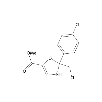 COC(=O)C1=CNC(CCl)(c2ccc(Cl)cc2)O1